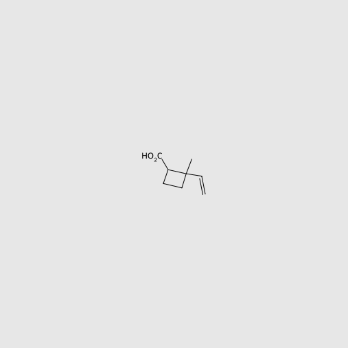 C=CC1(C)CCC1C(=O)O